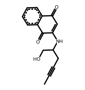 CC#CCC(CO)NC1=CC(=O)c2ccccc2C1=O